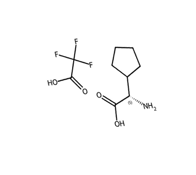 N[C@H](C(=O)O)C1CCCC1.O=C(O)C(F)(F)F